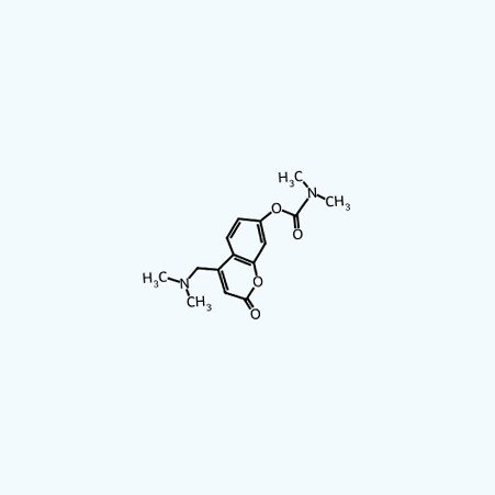 CN(C)Cc1cc(=O)oc2cc(OC(=O)N(C)C)ccc12